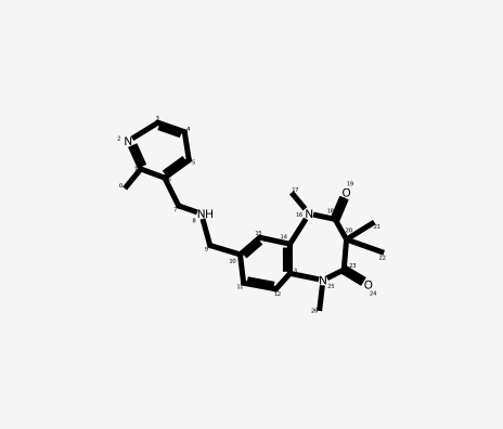 Cc1ncccc1CNCc1ccc2c(c1)N(C)C(=O)C(C)(C)C(=O)N2C